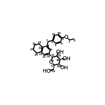 CCOc1ccc(Cc2cc([C@@H]3O[C@H](CO)[C@H](O)[C@H](O)C3O)cc3c2CCCC3)cc1